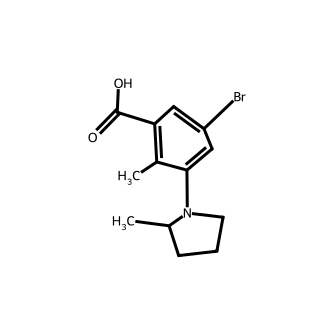 Cc1c(C(=O)O)cc(Br)cc1N1CCCC1C